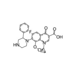 COc1c(N2CCNCC2c2ccccc2)c(F)cc2c(=O)c(C(=O)O)cn(C3CC3)c12